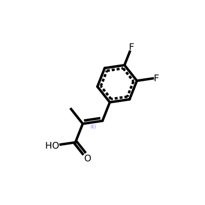 C/C(=C\c1ccc(F)c(F)c1)C(=O)O